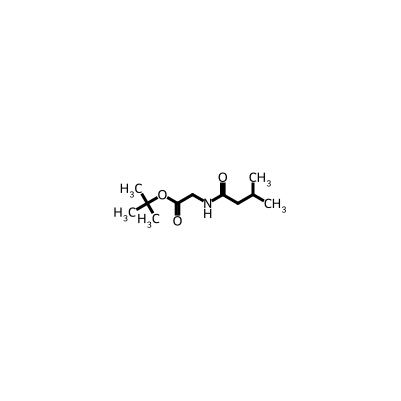 CC(C)CC(=O)NCC(=O)OC(C)(C)C